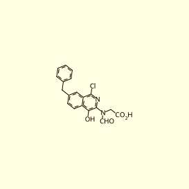 O=CN(CC(=O)O)c1nc(Cl)c2cc(Cc3ccccc3)ccc2c1O